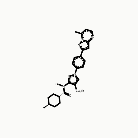 CCOC(=O)c1cn(-c2ccc(-c3cc4nccc(C)n4n3)cc2)nc1N(C(=O)[C@H]1CC[C@H](C)CC1)C(C)C